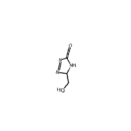 O=C1N=NC(CO)N1